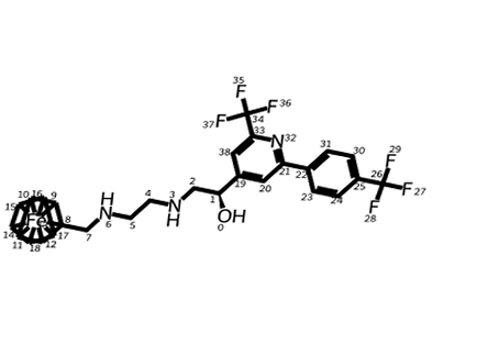 O[C@@H](CNCCNC[C]12[CH]3[CH]4[CH]5[CH]1[Fe]45321678[CH]2[CH]1[CH]6[CH]7[CH]28)c1cc(-c2ccc(C(F)(F)F)cc2)nc(C(F)(F)F)c1